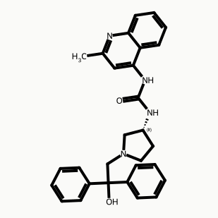 Cc1cc(NC(=O)N[C@@H]2CCN(CC(O)(c3ccccc3)c3ccccc3)C2)c2ccccc2n1